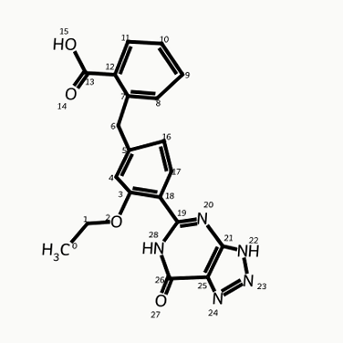 CCOc1cc(Cc2ccccc2C(=O)O)ccc1-c1nc2[nH]nnc2c(=O)[nH]1